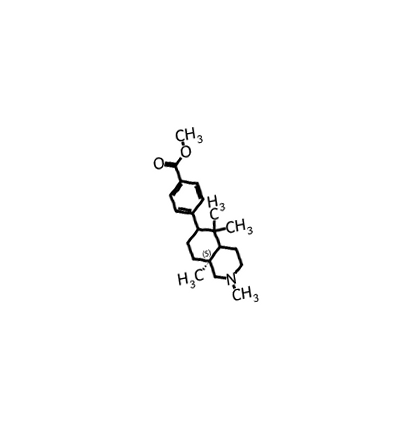 COC(=O)c1ccc(C2CC[C@]3(C)CN(C)CCC3C2(C)C)cc1